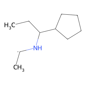 C[CH]NC(CC)C1CCCC1